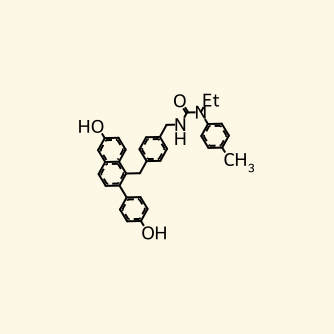 CCN(C(=O)NCc1ccc(Cc2c(-c3ccc(O)cc3)ccc3cc(O)ccc23)cc1)c1ccc(C)cc1